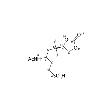 CC(=O)NC(CCS(=O)(=O)O)CC(C)(C)[C@@H]1COC(=O)O1